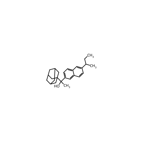 CCC(C)c1ccc2cc(C(C)(O)C34CC5CC(CC(C5)C3)C4)ccc2c1